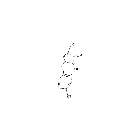 CC1=CC(Oc2ccc(C#N)cc2C#N)OC1=O